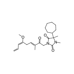 C=C/C=C(\C/C=C(\C)C(=O)CN1C(=O)N(C)C(C)(C2CCCCCC2)C1=O)OC